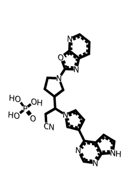 N#CCC(C1CCN(c2nc3cccnc3o2)C1)n1ccc(-c2ncnc3[nH]ccc23)c1.O=P(O)(O)O